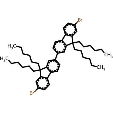 CCCCCCC1(CCCCCC)c2cc(Br)ccc2-c2ccc(-c3ccc4c(c3)C(CCCCCC)(CCCCCC)c3cc(Br)ccc3-4)cc21